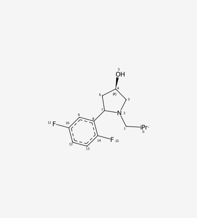 C[C](C)CN1C[C@H](O)CC1c1cc(F)ccc1F